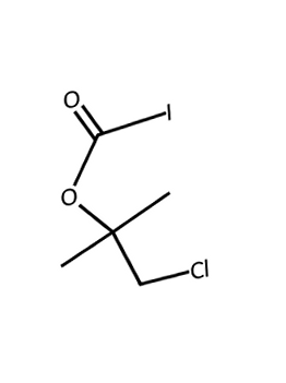 CC(C)(CCl)OC(=O)I